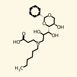 CCCCCCN(CCC(=O)O)CC(O)C(O)[C@@H]1O[C@H](c2ccccc2)OC[C@H]1O